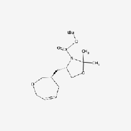 CC(C)(C)OC(=O)N1[C@@H](C[C@H]2CC=CCOC2)COC1(C)C